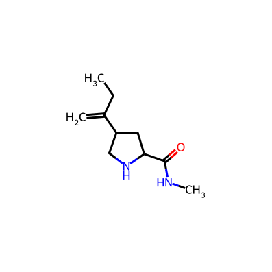 C=C(CC)C1CNC(C(=O)NC)C1